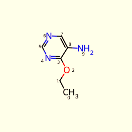 CCOc1ncncc1N